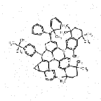 Cc1cc2c(cc1N1C3=C4B(C5=C(C6CC6c6ccccc65)N(c5ccc(C(C)(C)C)cc5)C4CC(N(c4ccccc4)C4(C)C=CC=CC4)=C3)c3cc4c(cc31)C(C)(C)CCC4(C)C)C(C)(C)CCC2(C)C